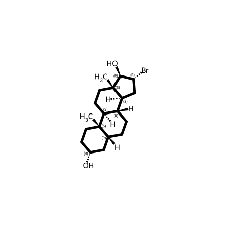 C[C@]12CC[C@@H](O)C[C@H]1CC[C@@H]1[C@@H]2CC[C@]2(C)[C@@H](O)[C@H](Br)C[C@@H]12